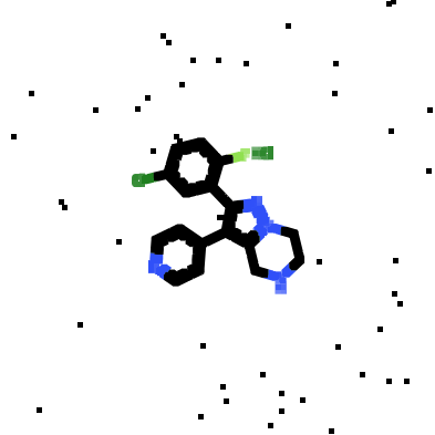 Cl.Fc1ccc(Cl)cc1-c1nn2c(c1-c1ccncc1)CNCC2